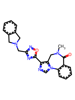 CN1Cc2c(-c3nc(CN4Cc5ccccc5C4)no3)ncn2-c2ccccc2C1=O